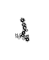 CC1(C)CC(NC(=O)c2ccccc2Cl)c2cc(C(=O)N3CCC4(CC3)CCN(c3ccncc3)CC4)ccc21